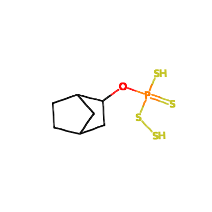 S=P(S)(OC1CC2CCC1C2)SS